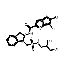 O=C(N[C@@H]1Cc2ccccc2[C@@H]1CS(=O)(=O)NCC(O)CO)c1cc2sc(Cl)c(Cl)c2[nH]1